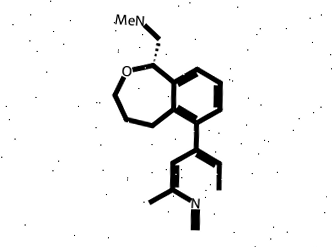 C=N/C(C)=C\C(=C/C)c1cccc2c1CCCO[C@@H]2CNC